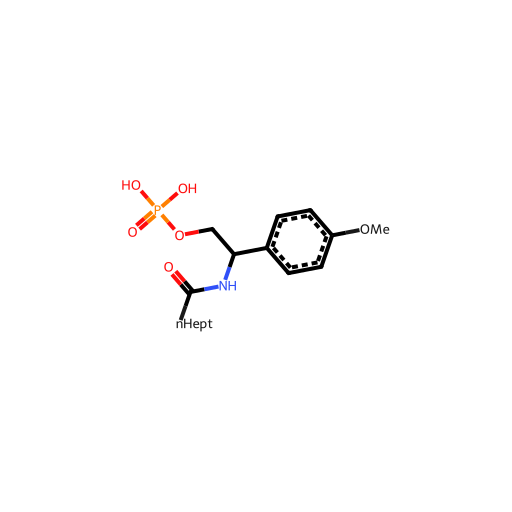 CCCCCCCC(=O)NC(COP(=O)(O)O)c1ccc(OC)cc1